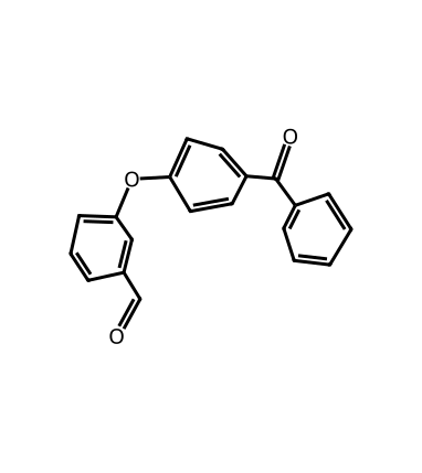 O=Cc1cccc(Oc2ccc(C(=O)c3ccccc3)cc2)c1